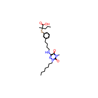 CCCCCCCn1nc(NCCCCc2cccc(SC(C)(CCC)C(=O)O)c2)c(=O)n(C)c1=O